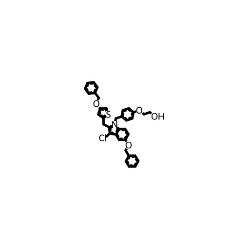 OCCOc1ccc(Cn2c(Cc3cc(OCc4ccccc4)cs3)c(Cl)c3cc(OCc4ccccc4)ccc32)cc1